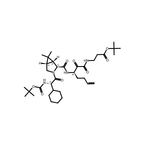 C=CCC[C@@H](NC(=O)[C@@H]1[C@@H]2[C@H](CN1C(=O)[C@@H](NC(=O)OC(C)(C)C)C1CCCCC1)C2(C)C)C(=O)C(=O)NCCC(=O)OC(C)(C)C